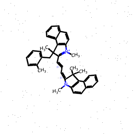 Cc1ccccc1CC1(C)C(/C=C/C=C2/N(C)c3ccc4ccccc4c3C2(C)C)=[N+](C)c2ccc3ccccc3c21